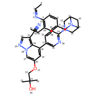 C/C=N\c1ccc(CN2C3CC2CN(c2ccc(-c4cc(OCC(C)(C)O)cn5ncc(C#N)c45)cn2)C3)cc1CC